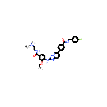 CN(C)CCNC(=O)c1ccc(Nc2nc3ccc(-c4ccc(C(=O)NCc5ccc(F)cc5)cc4)cn3n2)c(OCC(F)(F)F)c1